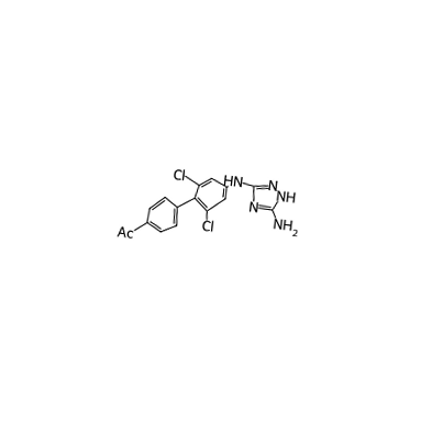 CC(=O)c1ccc(-c2c(Cl)cc(Nc3n[nH]c(N)n3)cc2Cl)cc1